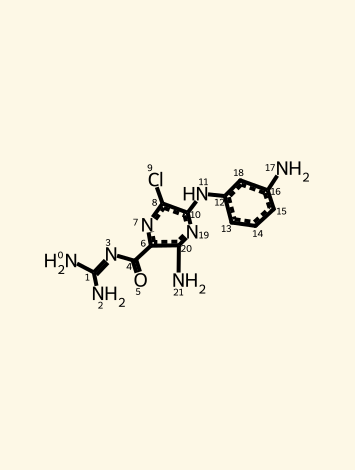 NC(N)=NC(=O)c1nc(Cl)c(Nc2cccc(N)c2)nc1N